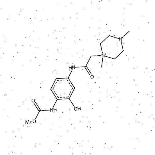 COC(=O)Nc1ccc(NC(=O)C[N+]2(C)CCN(C)CC2)cc1O